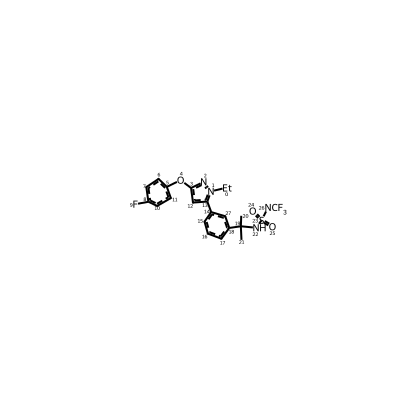 CCn1nc(Oc2ccc(F)cc2)cc1-c1cccc(C(C)(C)NS(=O)(=O)NC(F)(F)F)c1